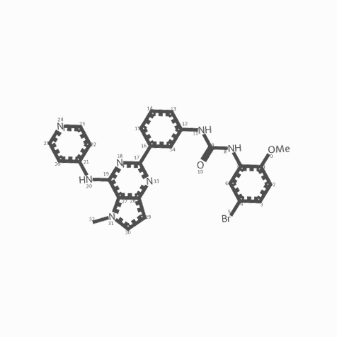 COc1ccc(Br)cc1NC(=O)Nc1cccc(-c2nc(Nc3ccncc3)c3c(ccn3C)n2)c1